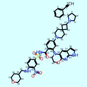 C#Cc1ccccc1[C@@H]1CCCN1C1CC2(CCN(c3ccc(C(=O)NS(=O)(=O)c4ccc(NCC5CCOCC5)c([N+](=O)[O-])c4)c(N4CCOc5nc6[nH]ccc6cc54)c3)CC2)C1